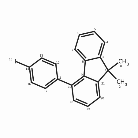 CC1(C)c2ccccc2-c2c(-c3ccc(I)cc3)cccc21